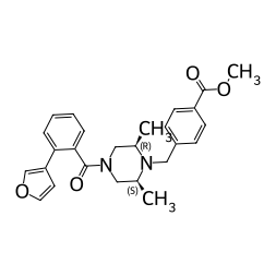 COC(=O)c1ccc(CN2[C@H](C)CN(C(=O)c3ccccc3-c3ccoc3)C[C@@H]2C)cc1